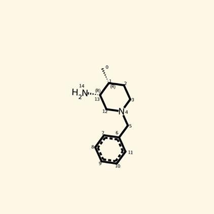 C[C@@H]1CCN(Cc2ccccc2)C[C@@H]1N